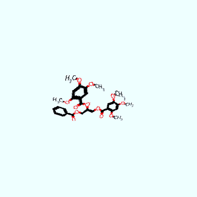 COc1cc(OC)c(C(=O)OCC(COC(=O)c2ccccc2)OC(=O)c2cc(OC)c(OC)cc2OC)cc1OC